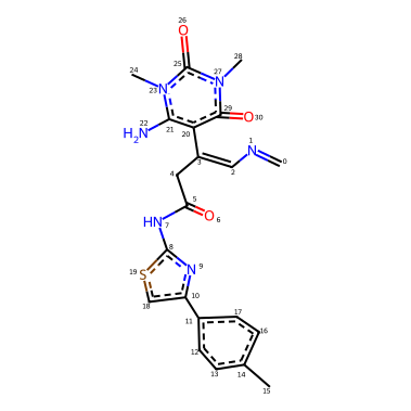 C=N/C=C(/CC(=O)Nc1nc(-c2ccc(C)cc2)cs1)c1c(N)n(C)c(=O)n(C)c1=O